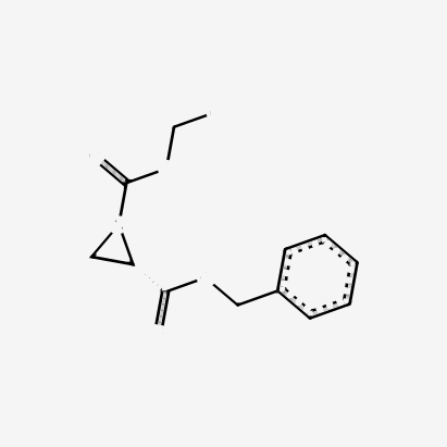 O=C(OCc1ccccc1)[C@@H]1CN1C(=O)OCC(Cl)(Cl)Cl